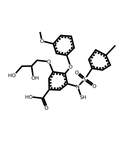 COc1cccc(Oc2c(OCC(O)CO)cc(C(=O)O)cc2N(S)S(=O)(=O)c2ccc(C)cc2)c1